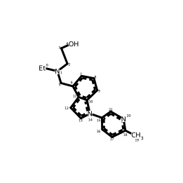 CCN(CCO)Cc1cccc2c1ccn2-c1ccc(C)nc1